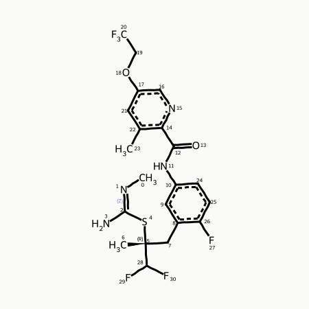 C/N=C(/N)S[C@](C)(Cc1cc(NC(=O)c2ncc(OCC(F)(F)F)cc2C)ccc1F)C(F)F